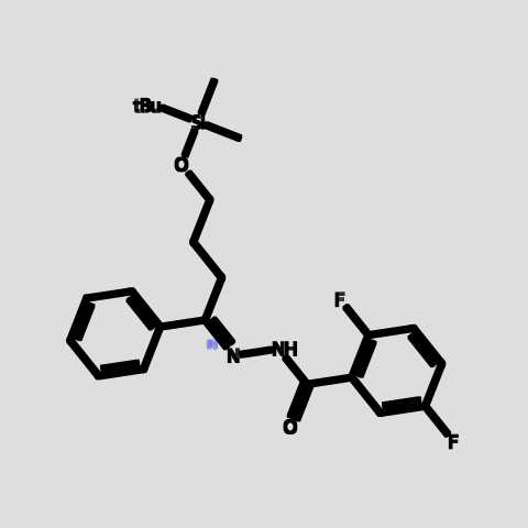 CC(C)(C)[Si](C)(C)OCCC/C(=N\NC(=O)c1cc(F)ccc1F)c1ccccc1